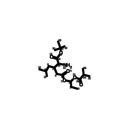 CCC(OC(=O)CC(CC(C)C)C(N)C(=O)OC(C)(C)C)OC(=O)C(C)C